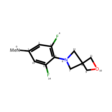 CNc1cc(F)c(N2CC3(COC3)C2)c(F)c1